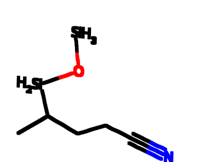 CC(CCC#N)[SiH2]O[SiH3]